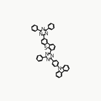 c1ccc(-c2nc(-c3ccccc3)nc(-c3ccc4sc5c(-c6nc(-c7ccccc7)nc(-c7ccc(-n8c9ccccc9c9ccccc98)cc7)n6)cccc5c4c3)n2)cc1